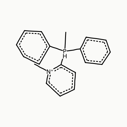 C[n+]1ccccc1[PH](C)(c1ccccc1)c1ccccc1